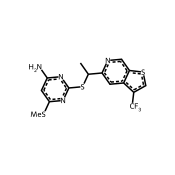 CSc1cc(N)nc(SC(C)c2cc3c(C(F)(F)F)csc3cn2)n1